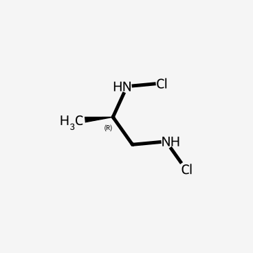 C[C@H](CNCl)NCl